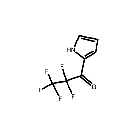 O=C(c1ccc[nH]1)C(F)(F)C(F)(F)F